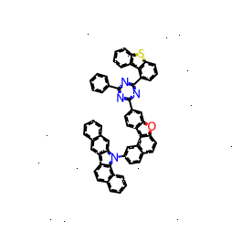 c1ccc(-c2nc(-c3ccc4c(c3)oc3ccc5ccc(-n6c7cc8ccccc8cc7c7ccc8ccccc8c76)cc5c34)nc(-c3cccc4sc5ccccc5c34)n2)cc1